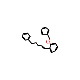 C(=C\c1ccccc1OCc1ccccc1)/CCCc1ccccc1